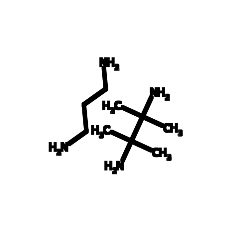 CC(C)(N)C(C)(C)N.NCCCN